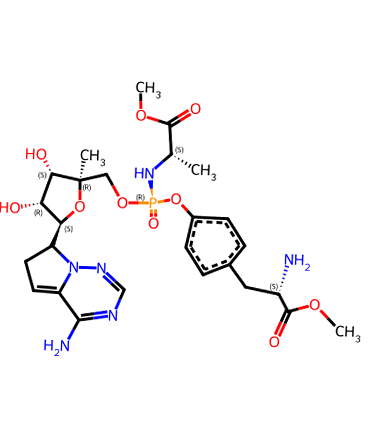 COC(=O)[C@H](C)N[P@@](=O)(OC[C@@]1(C)O[C@@H](C2CC=C3C(N)=NC=NN32)[C@H](O)[C@@H]1O)Oc1ccc(C[C@H](N)C(=O)OC)cc1